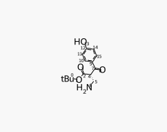 CC(C)(C)OC(=O)[C@@H](CN)C(=O)c1ccc(O)cc1